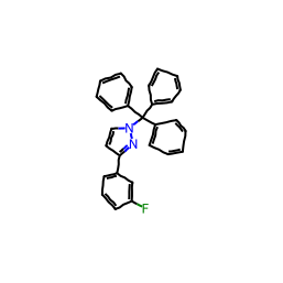 Fc1cccc(-c2ccn(C(c3ccccc3)(c3ccccc3)c3ccccc3)n2)c1